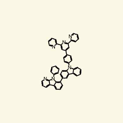 c1ccc(-n2c3ncccc3c3cccc(-c4ccc5c(c4)c4ccccc4n5-c4ccc(-c5cc(-c6ccccn6)nc(-c6ccccn6)c5)cc4)c32)cc1